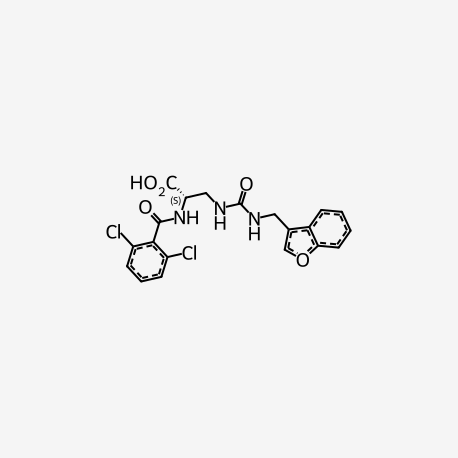 O=C(NCc1coc2ccccc12)NC[C@H](NC(=O)c1c(Cl)cccc1Cl)C(=O)O